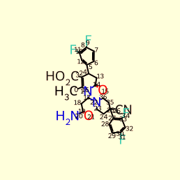 CC1=C(C(=O)O)C(c2ccc(F)c(F)c2)CC(=O)N1C(CC(N)=O)N1CCC(C#N)(c2ccc(F)cc2F)CC1